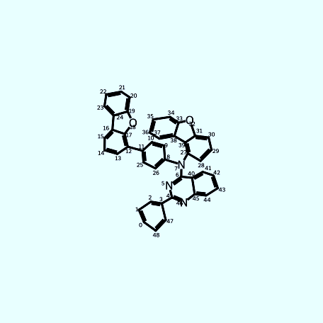 c1ccc(-c2nc(N(c3ccc(-c4cccc5c4oc4ccccc45)cc3)c3cccc4oc5ccccc5c34)c3ccccc3n2)cc1